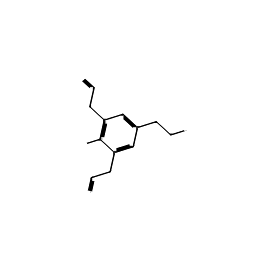 C=CCc1cc(CCC(=O)O)cc(CC=C)c1O